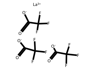 O=C([O-])C(F)(F)F.O=C([O-])C(F)(F)F.O=C([O-])C(F)(F)F.[La+3]